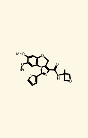 COc1cc2c(cc1OC(C)C)-n1c(-c3cccs3)nc(C(=O)NC3(C)COC3)c1CO2